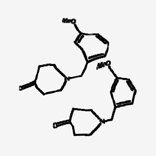 COc1cccc(CN2CCC(=O)CC2)c1.COc1cccc(CN2CCC(=O)CC2)c1